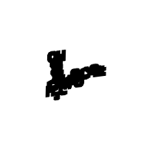 CCOc1ccc(S(=O)(=O)N2C[C@@H](C)[C@@H](n3nc(Cc4cc(O)no4)c4ccccc43)C2)cc1